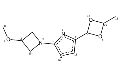 COC1CN(c2nc(C3OC(C)O3)cs2)C1